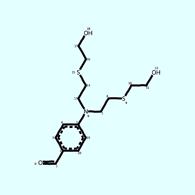 O=Cc1ccc(N(CCSCCO)CCSCCO)cc1